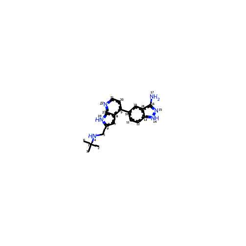 CC(C)(C)NCc1cc2c(-c3ccc4[nH]nc(N)c4c3)ccnc2[nH]1